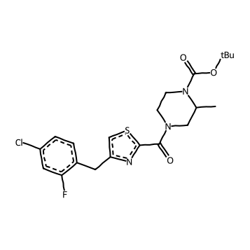 CC1CN(C(=O)c2nc(Cc3ccc(Cl)cc3F)cs2)CCN1C(=O)OC(C)(C)C